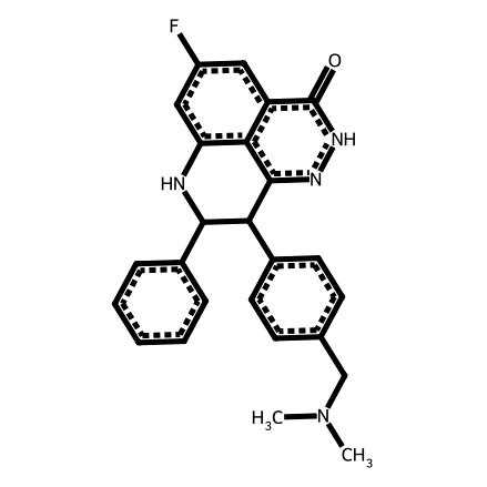 CN(C)Cc1ccc(C2c3n[nH]c(=O)c4cc(F)cc(c34)NC2c2ccccc2)cc1